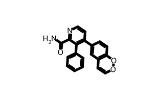 NC(=O)c1nccc(-c2ccc3c(c2)C=COO3)c1-c1ccccc1